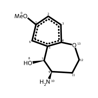 COc1ccc2c(c1)[C@H](O)[C@H](N)CCO2